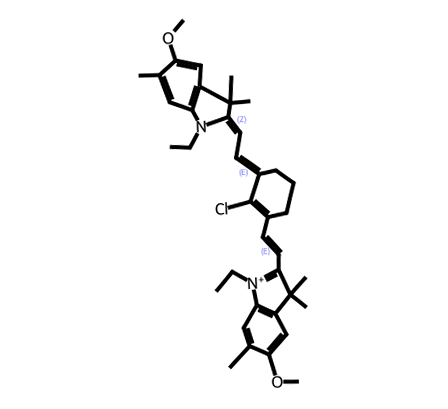 CCN1/C(=C\C=C2/CCCC(/C=C/C3=[N+](CC)c4cc(C)c(OC)cc4C3(C)C)=C2Cl)C(C)(C)c2cc(OC)c(C)cc21